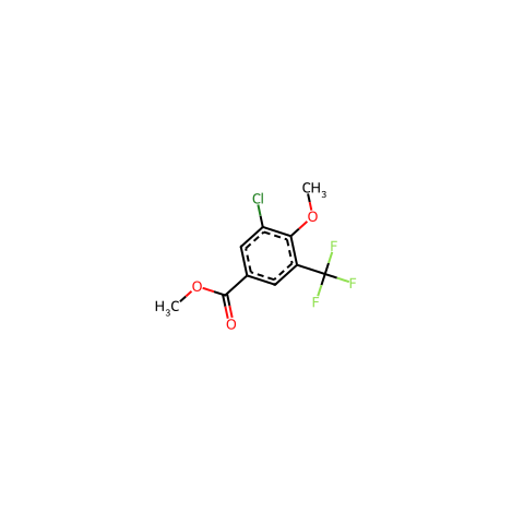 COC(=O)c1cc(Cl)c(OC)c(C(F)(F)F)c1